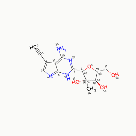 C#Cc1cnc2[nH]c([C@@H]3O[C@H](CO)[C@@H](O)[C@@]3(C)O)nc(N)c1-2